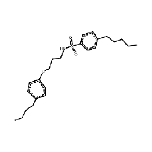 CCCCCc1ccc(S(=O)(=O)NCCCOc2ccc(CCCC)cc2)cc1